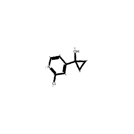 OC1(c2ccnc(Cl)c2)CC1